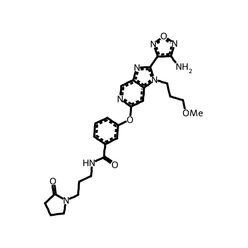 COCCCn1c(-c2nonc2N)nc2cnc(Oc3cccc(C(=O)NCCCN4CCCC4=O)c3)cc21